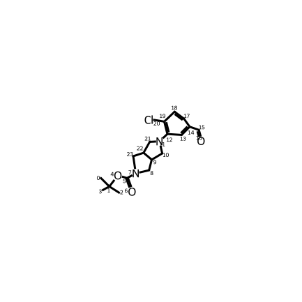 CC(C)(C)OC(=O)N1CC2CN(c3cc(C=O)ccc3Cl)CC2C1